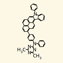 Cc1nc(C)nc(N(c2ccccc2)c2ccc(-c3ccc4ccc5cc6c(c7ccc3c4c57)c3ccccc3n6-c3ccccc3)cc2)n1